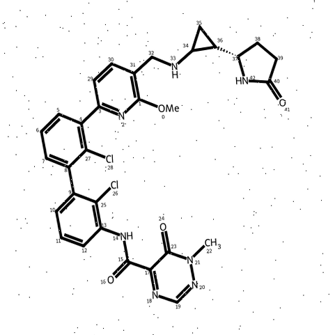 COc1nc(-c2cccc(-c3cccc(NC(=O)c4ncnn(C)c4=O)c3Cl)c2Cl)ccc1CNC1CC1[C@@H]1CCC(=O)N1